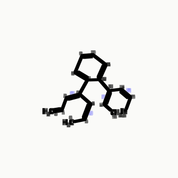 C=C/C=C(\C=C/C)c1ccccc1C(/C=C\CC)=C/C